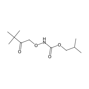 CC(C)COC(=O)NOCC(=O)C(C)(C)C